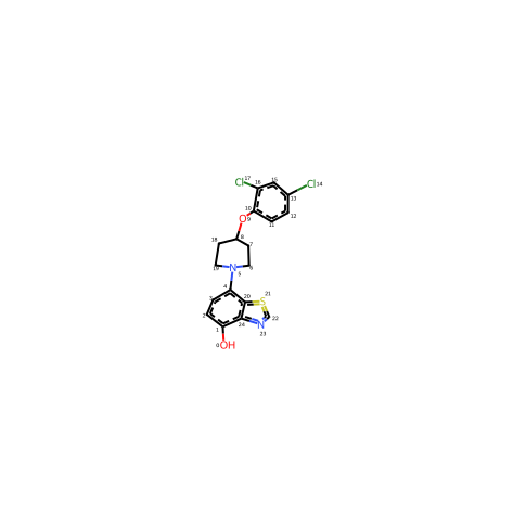 Oc1ccc(N2CCC(Oc3ccc(Cl)cc3Cl)CC2)c2scnc12